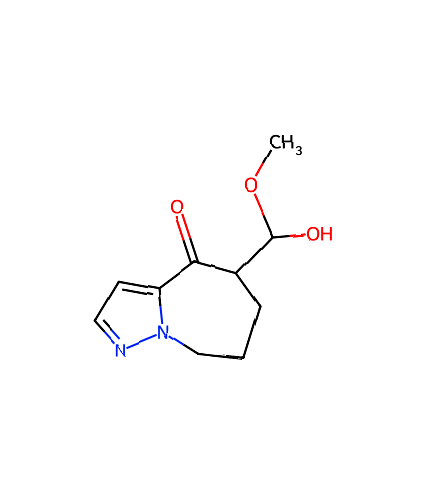 COC(O)C1CCCn2nccc2C1=O